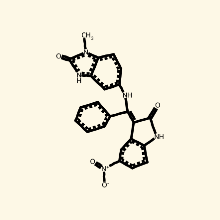 Cn1c(=O)[nH]c2cc(N/C(=C3\C(=O)Nc4ccc([N+](=O)[O-])cc43)c3ccccc3)ccc21